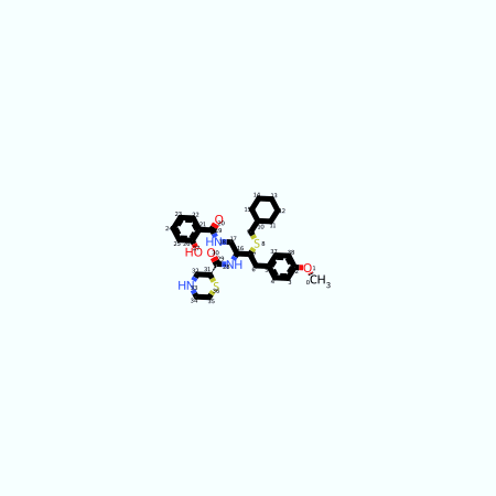 COc1ccc(CC(SCC2CCCCC2)C(CNC(=O)c2ccccc2O)NC(=O)[C@H]2CNCCS2)cc1